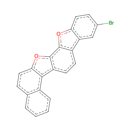 Brc1ccc2oc3c(ccc4c3oc3ccc5ccccc5c34)c2c1